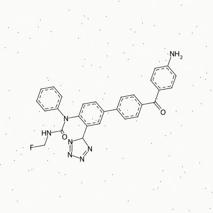 Nc1ccc(C(=O)c2ccc(-c3ccc(N(C(=O)NCF)c4ccccc4)c(C4N=NN=N4)c3)cc2)cc1